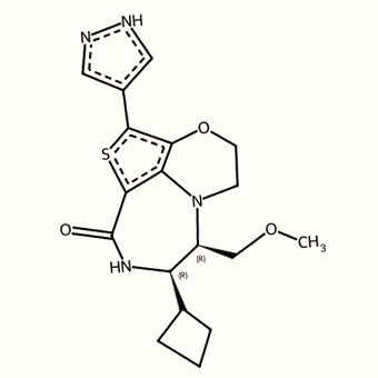 COC[C@H]1[C@@H](C2CCC2)NC(=O)c2sc(-c3cn[nH]c3)c3c2N1CCO3